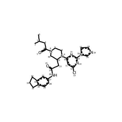 CC(C)CC(=O)N1CCN(c2cc(Cl)nc(-n3ccnc3)n2)C(CC(=O)Nc2ccc3c(c2)CCC3)C1